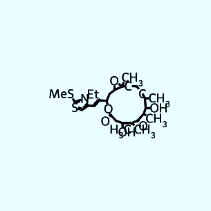 CCC(=Cc1csc(SC)n1)C1CC2OC2(C)CCCC(C)C(O)C(C)C(=O)C(C)(C)C(O)CC(=O)O1